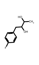 CC(O)C(O)Cc1ccc(F)cc1